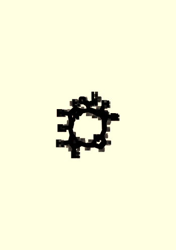 CCC1=C(CC)c2nc1c(CC)c1[nH]c(cc3nc(cc4c(CC)c(CC)c(c2C(N)=O)n4CC)C=C3)c(CC)c1CC